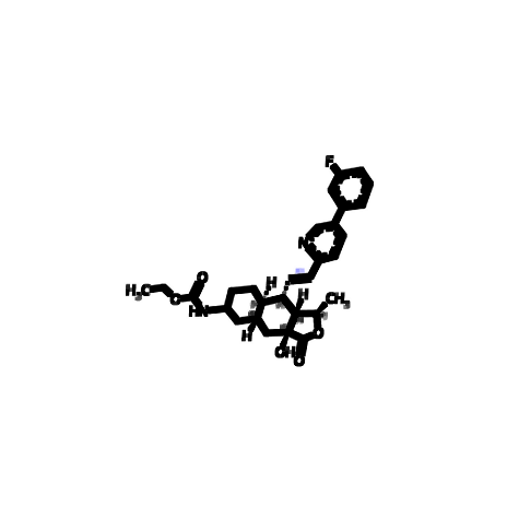 CCOC(=O)NC1CC[C@@H]2[C@@H](C1)C[C@@]1(O)C(=O)O[C@H](C)[C@H]1[C@H]2/C=C/c1ccc(-c2cccc(F)c2)cn1